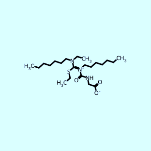 CCCCCCCN(CC)C(SCC)=[N+](CCCCCCC)C(=O)NCC(=O)[O-]